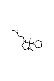 COCCN1CCN(C)C1(C)N1CCCC1